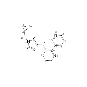 C(=C1/CCCN=C1c1cccnc1)/c1ccn(CC2CC2)n1